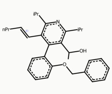 CCC/C=C/c1c(C(C)C)nc(C(C)C)c(C(C)O)c1-c1ccccc1OCc1ccccc1